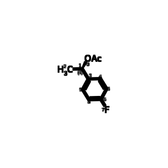 CC(=O)O[C@H](C)c1ccc(F)cc1